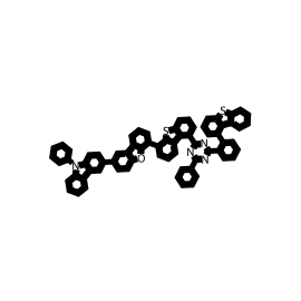 c1ccc(-c2nc(-c3ccccc3-c3cccc4sc5ccccc5c34)nc(-c3cccc4sc5c(-c6cccc7c6oc6ccc(-c8ccc9c(c8)c8ccccc8n9-c8ccccc8)cc67)cccc5c34)n2)cc1